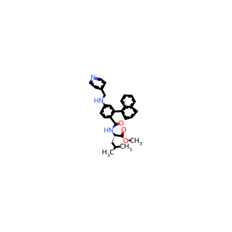 COC(=O)[C@H](CC(C)C)NC(=O)c1ccc(NCc2ccncc2)cc1-c1cccc2ccccc12